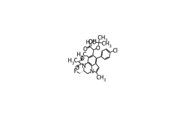 Cc1c([C@H](OC(C)(C)C)C(=O)O)c(-c2ccc(Cl)cc2)c2cc(C)n3c2c1N(S(C)(=O)=O)[C@@H](CF)C3